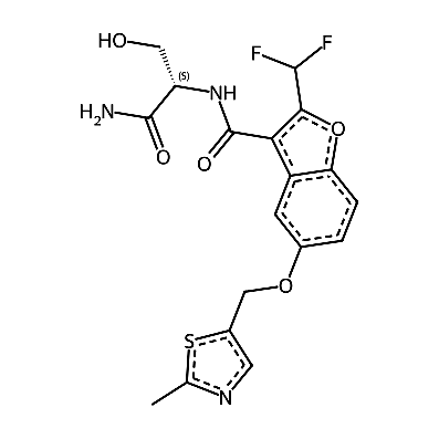 Cc1ncc(COc2ccc3oc(C(F)F)c(C(=O)N[C@@H](CO)C(N)=O)c3c2)s1